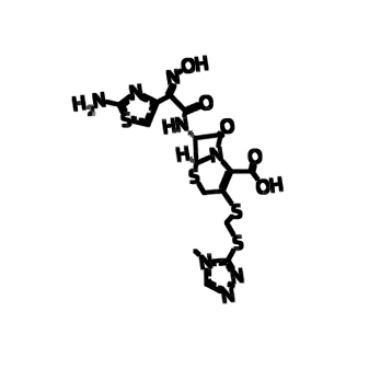 Cn1cnnc1SCSC1=C(C(=O)O)N2C(=O)[C@@H](NC(=O)/C(=N\O)c3csc(N)n3)[C@@H]2SC1